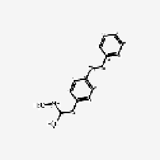 CNC(C)Cc1ccc(OCc2ccccc2)cc1